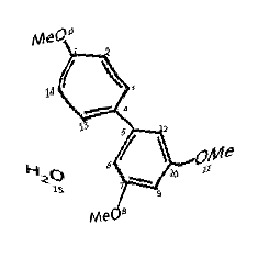 COc1ccc(-c2cc(OC)cc(OC)c2)cc1.O